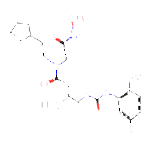 COc1ccc(Cl)cc1NC(=O)NCC(C)CC(=O)N(CCC1CCCC1)CC(=O)NO